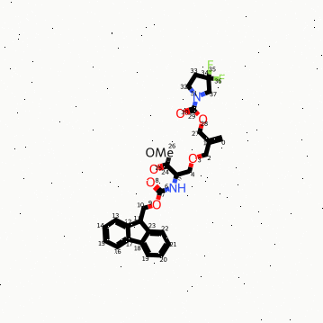 C=C(COCC(NC(=O)OCC1c2ccccc2-c2ccccc21)C(=O)OC)COC(=O)N1CCC(F)(F)C1